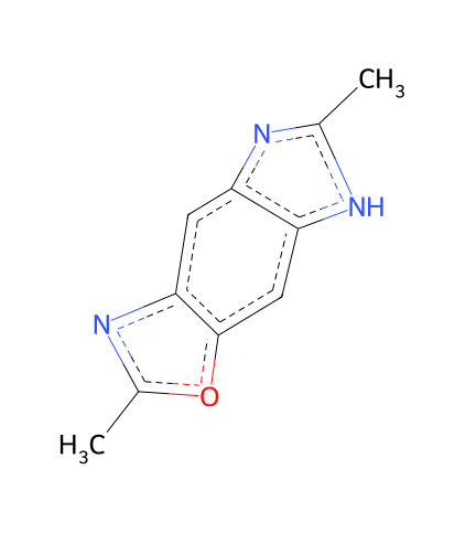 Cc1nc2cc3nc(C)oc3cc2[nH]1